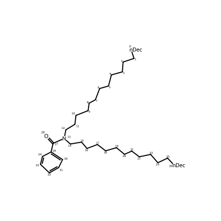 CCCCCCCCCCCCCCCCCCCCCCN(CCCCCCCCCCCCCCCCCCCCCC)C(=O)c1cc[c]cc1